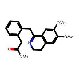 COC(=O)Cc1ccccc1CC1=NCCc2cc(OC)c(OC)cc21